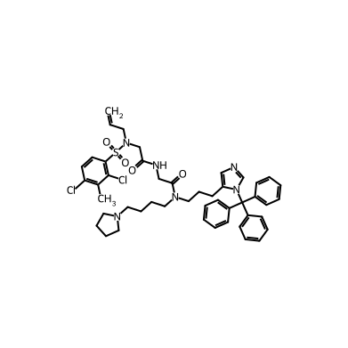 C=CCN(CC(=O)NCC(=O)N(CCCCN1CCCC1)CCCc1cncn1C(c1ccccc1)(c1ccccc1)c1ccccc1)S(=O)(=O)c1ccc(Cl)c(C)c1Cl